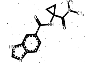 CN(C)C(=O)C1(NC(=O)c2ccc3nc[nH]c3c2)CC1